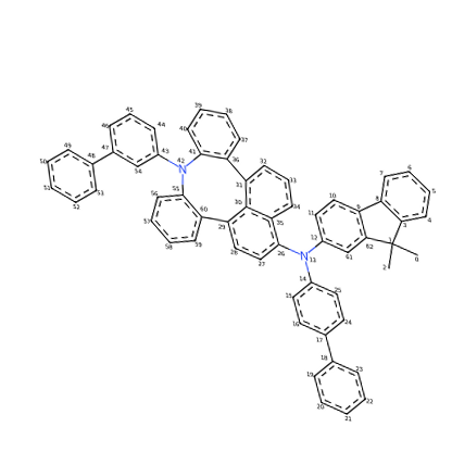 CC1(C)c2ccccc2-c2ccc(N(c3ccc(-c4ccccc4)cc3)c3ccc4c5c(cccc35)-c3ccccc3N(c3cccc(-c5ccccc5)c3)c3ccccc3-4)cc21